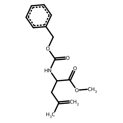 C=C(C)CC(NC(=O)OCc1ccccc1)C(=O)OC